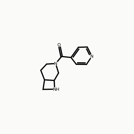 O=C(c1ccncc1)N1CCC2CNC2C1